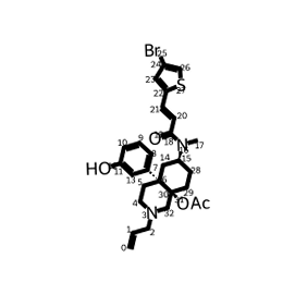 C=CCN1CC[C@@]2(c3cccc(O)c3)C[C@@H](N(C)C(=O)/C=C/c3cc(Br)cs3)CC[C@]2(OC(C)=O)C1